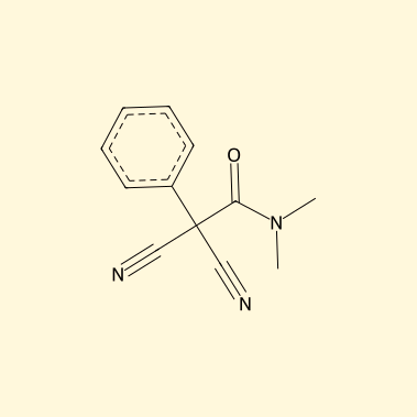 CN(C)C(=O)C(C#N)(C#N)c1ccccc1